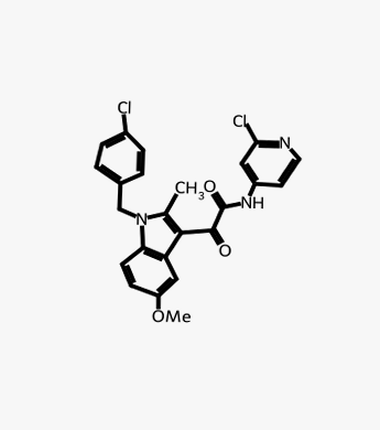 COc1ccc2c(c1)c(C(=O)C(=O)Nc1ccnc(Cl)c1)c(C)n2Cc1ccc(Cl)cc1